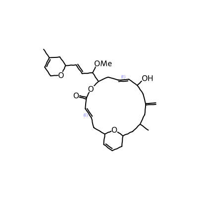 C=C1CC(O)/C=C/CC(C(C=CC2CC(C)=CCO2)OC)OC(=O)/C=C/CC2C=CCC(CC(C)C1)O2